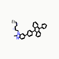 CC/C=C\C=C/Cn1c(C)nc2ccc(-c3ccc(-c4c5ccccc5c(-c5ccccc5)c5ccccc45)cc3)cc21